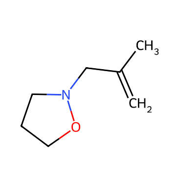 C=C(C)CN1CCCO1